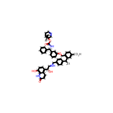 CCC(c1ccc(CNC[C@H](O)c2ccc(O)c3[nH]c(=O)ccc23)cc1)c1cc(C(=O)O)ccc1COc1cccc([C@@H](NC(=O)O[C@H]2CN3CCC2CC3)c2ccccc2)c1